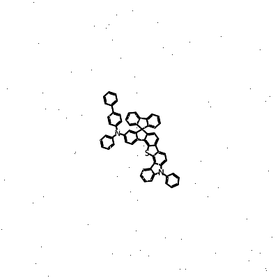 c1ccc(-c2ccc(N(c3ccccc3)c3ccc4c(c3)C3(c5ccccc5-c5ccccc53)c3ccc5c(sc6c5ccc5c6c6ccccc6n5-c5ccccc5)c3-4)cc2)cc1